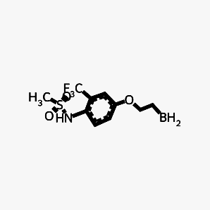 BCCOc1ccc(NS(C)(=O)=O)c(C(F)(F)F)c1